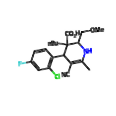 CCCCC1(C(=O)O)C(COC)NC(C)=C(C#N)C1c1ccc(F)cc1Cl